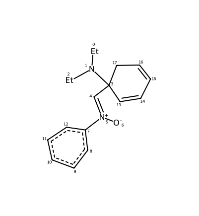 CCN(CC)C1(C=[N+]([O-])c2ccccc2)C=CC=CC1